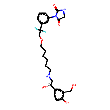 O=C1CNC(=O)N1c1cccc(C(F)(F)COCCCCCCNC[C@@H](O)c2ccc(O)c(CO)c2)c1